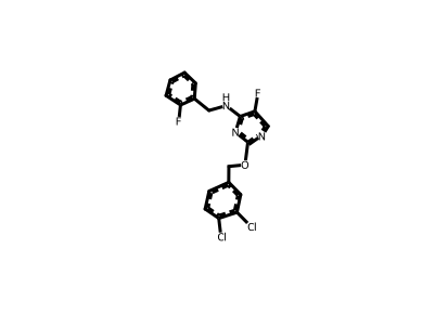 Fc1ccccc1CNc1nc(OCc2ccc(Cl)c(Cl)c2)ncc1F